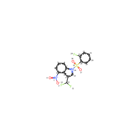 O=[N+]([O-])c1cccc2c1c(C(F)F)cn2S(=O)(=O)c1ccccc1F